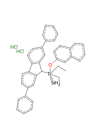 C[CH2][Ti](=[SiH2])([CH2]C)([O]c1ccc2ccccc2c1)[CH]1c2cc(-c3ccccc3)ccc2-c2ccc(-c3ccccc3)cc21.Cl.Cl